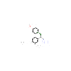 CCCCCCCCOc1ccc(CC(CN)c2ccc(OC)c(OC)c2)cc1.Cl